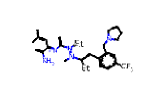 C=C(N)/C(C=C(C)C)=N/C(=C)N(CC)N(C)C(CC)Cc1ccc(C(F)(F)F)cc1CN1CCCC1